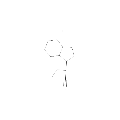 CC[C@](C)(C#N)C1CCC2[C@@H](O)CCC[C@@]21C